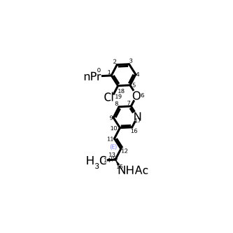 CCCc1cccc(Oc2ccc(/C=C/[C@H](C)NC(C)=O)cn2)c1Cl